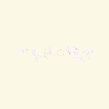 C[C@H]1CNCC1CNC(=O)N1C[C@@H]2[C@H](C1)[C@H]2NC(=O)c1ccc(NC(=O)c2ncc(/C(=C/N)C(=N)C(F)(F)F)n2C)cc1Cl